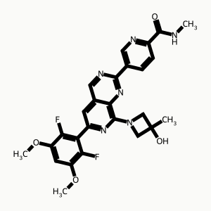 CNC(=O)c1ccc(-c2ncc3cc(-c4c(F)c(OC)cc(OC)c4F)nc(N4CC(C)(O)C4)c3n2)cn1